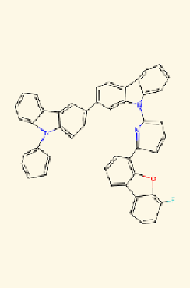 Fc1cccc2c1oc1c(-c3cccc(-n4c5ccccc5c5ccc(-c6ccc7c(c6)c6ccccc6n7-c6ccccc6)cc54)n3)cccc12